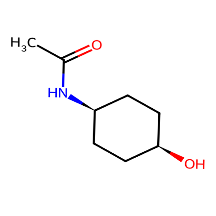 CC(=O)N[C@H]1CC[C@@H](O)CC1